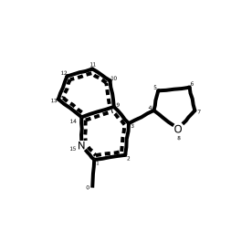 Cc1cc(C2CCCO2)c2ccccc2n1